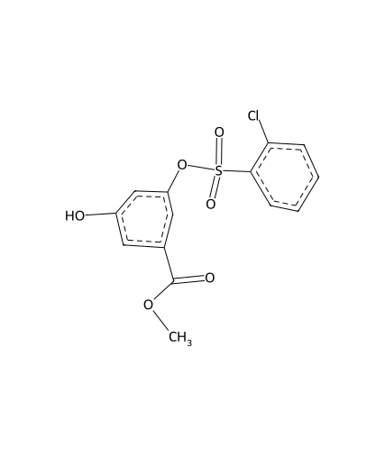 COC(=O)c1cc(O)cc(OS(=O)(=O)c2ccccc2Cl)c1